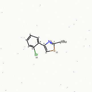 CC(C)(C)c1nc(-c2ccccc2Br)cs1